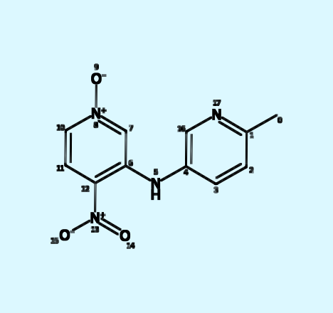 Cc1ccc(Nc2c[n+]([O-])ccc2[N+](=O)[O-])cn1